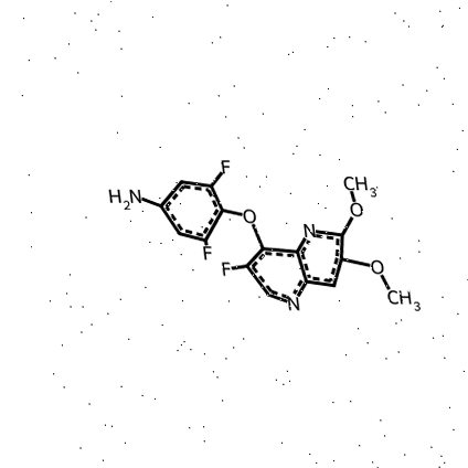 COc1cc2ncc(F)c(Oc3c(F)cc(N)cc3F)c2nc1OC